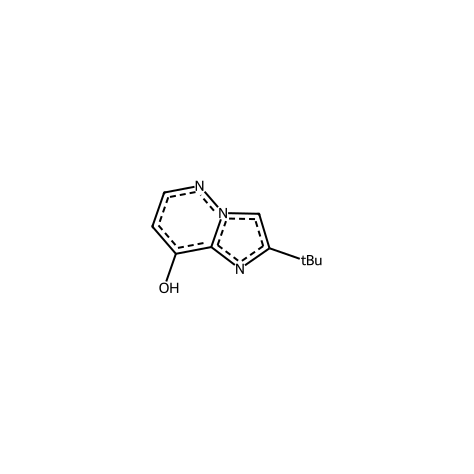 CC(C)(C)c1cn2nccc(O)c2n1